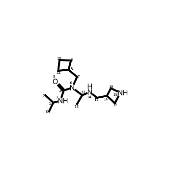 CC(C)NC(=O)N(CC1CCC1)C(C)NCC1CNC1